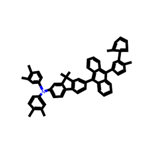 Cc1ccc(N(c2ccc(C)c(C)c2)c2ccc3c(c2)C(C)(C)c2cc(-c4c5ccccc5c(-c5ccc(C)c(-c6ccccc6C)c5)c5ccccc45)ccc2-3)cc1C